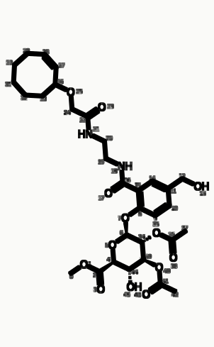 COC(=O)[C@H]1O[C@@H](Oc2ccc(CO)cc2C(=O)NCCNC(=O)COC2/C=C\CCCCC2)[C@H](OC(C)=O)[C@@H](OC(C)=O)[C@@H]1O